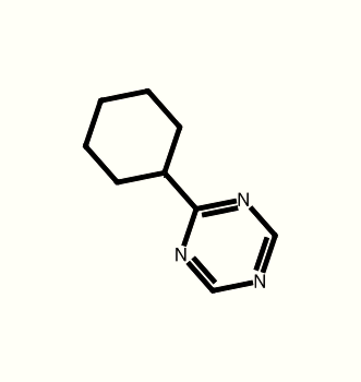 c1ncnc([C]2CCCCC2)n1